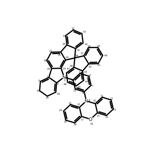 C1=c2c(n(-c3cccc(N4c5ccccc5Oc5ccccc54)c3)c3c4c(ccc23)-c2ccccc2C42c3ccccc3-c3ccccc32)=CCC1